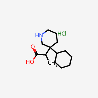 CC(C(=O)O)C1(C2CCCCC2)CCCNC1.Cl